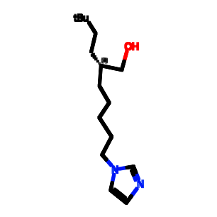 CC(C)(C)CC[C@H](CO)CCCCCn1ccnc1